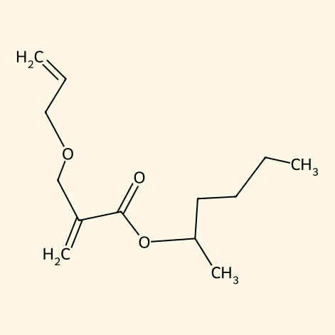 C=CCOCC(=C)C(=O)OC(C)CCCC